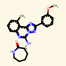 COc1cccc(-c2nc3c4c(C)cccc4nc(N[C@@H]4CCCCNC4=O)n3n2)c1